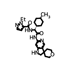 CCn1nccc1C(=O)NC(C(=O)Nc1cc2c(cn1)C1(CCOCC1)CN2)[C@H]1CC[C@H](C)CC1